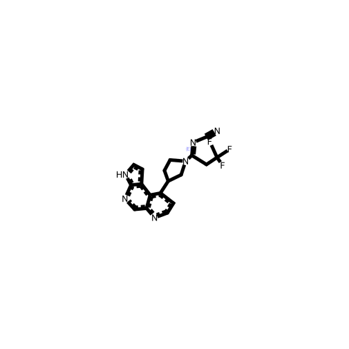 N#C/N=C(\CC(F)(F)F)N1CCC(c2ccnc3cnc4[nH]ccc4c23)C1